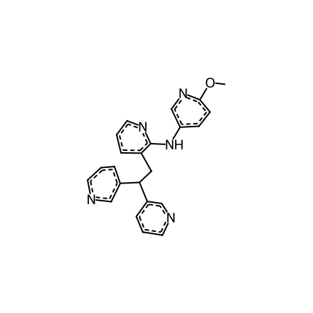 COc1ccc(Nc2ncccc2CC(c2cccnc2)c2cccnc2)cn1